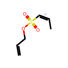 C=CCOS(=O)(=O)/C=C\C